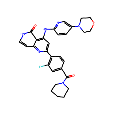 O=C(c1ccc(-c2cc(Nc3ccc(N4CCOCC4)cn3)c3c(=O)[nH]ccc3n2)c(F)c1)N1CCCCC1